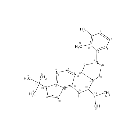 Cc1cccc(N2CCN(C(Nc3ncnc4c3ncn4C(C)(C)C)C(C)O)CC2)c1C